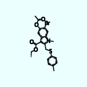 CCOC(=O)c1c(CSc2ccc(C)cc2)n(C)c2cc(Br)c(OC(C)=O)cc12